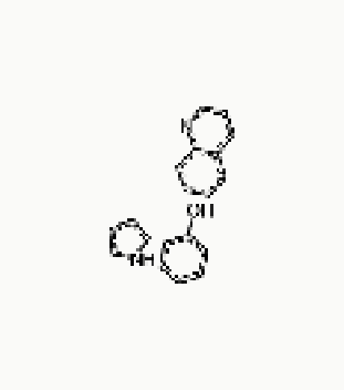 Oc1ccccc1.c1cc[nH]c1.c1ccc2ncccc2c1